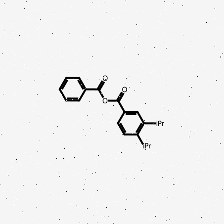 CC(C)c1ccc(C(=O)OC(=O)c2ccccc2)cc1C(C)C